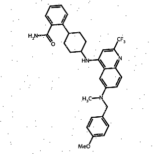 COc1ccc(CN(C)c2ccc3nc(C(F)(F)F)cc(NC4CCC(c5ccccc5C(N)=O)CC4)c3c2)cc1